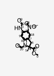 COC(=O)[C@@](C)(Cc1ccc(NC=O)c([N+](=O)[O-])c1)NC=O